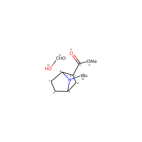 COC(=O)C1CC2CCC1N2C(C)(C)C.O=[C]O